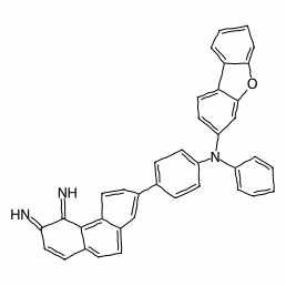 N=C1C=Cc2ccc3cc(-c4ccc(N(c5ccccc5)c5ccc6c(c5)oc5ccccc56)cc4)ccc3c2C1=N